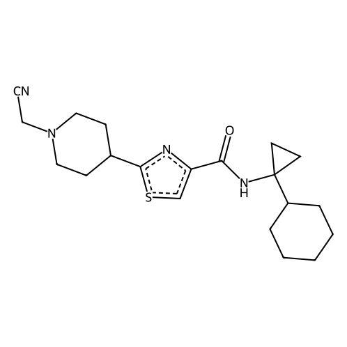 N#CCN1CCC(c2nc(C(=O)NC3(C4CCCCC4)CC3)cs2)CC1